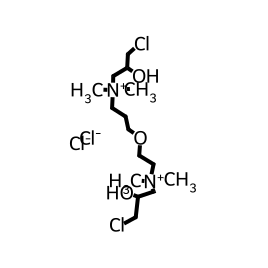 C[N+](C)(CCCOCC[N+](C)(C)CC(O)CCl)CC(O)CCl.[Cl-].[Cl-]